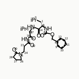 CC(C)C[C@H](NC(=O)OCc1ccccc1)C(=O)N[C@H](C(=O)NC(=O)CCN1CCCC1=O)C(C)C